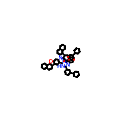 c1ccc(-c2ccc(C3=NC(c4cc5c(cc4-n4c6cc7ccccc7cc6c6c7ccccc7ccc64)oc4c6ccccc6ccc54)NC(c4cccc(-c5ccccc5)c4)=N3)cc2)cc1